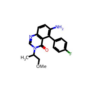 COCC(C)n1cnc2ccc(N)c(-c3ccc(F)cc3)c2c1=O